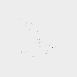 Cc1ccc(C(=O)CC(=O)O[C@@H]2[C@H]3OC(C)(C)O[C@H]3O[C@@H]2[C@H](O)CO)cc1